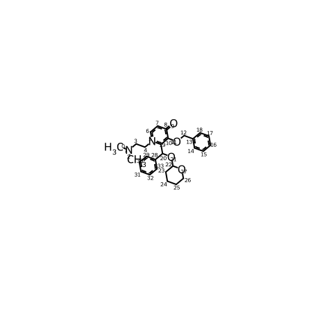 CN(C)CCn1ccc(=O)c(OCc2ccccc2)c1C(OC1CCCCO1)c1ccccc1